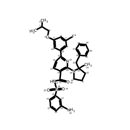 CC(C)COc1cc(F)cc(-c2ccc(C(=O)NS(=O)(=O)c3cccc(N)c3)c(N3CCCC3(C)Cc3ccccc3)n2)c1